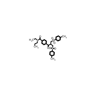 CCCN(CC)C(=O)c1ccc(C(=O)C(CS(=O)(=O)c2ccc(C)cc2)CS(=O)(=O)c2ccc(C)cc2)cc1